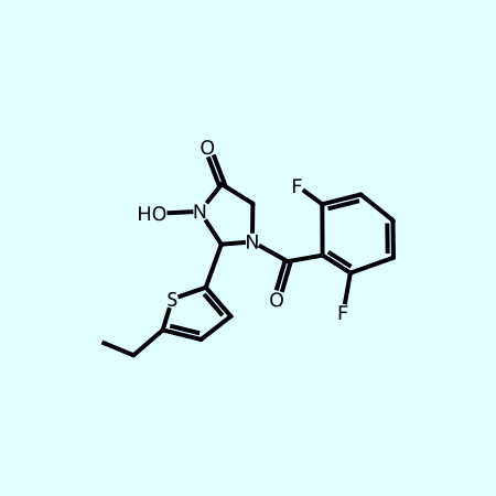 CCc1ccc(C2N(O)C(=O)CN2C(=O)c2c(F)cccc2F)s1